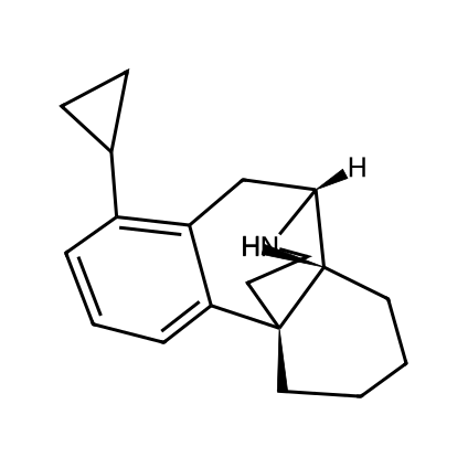 c1cc(C2CC2)c2c(c1)[C@@]13CCCC[C@H]1[C@@H](C2)NCC3